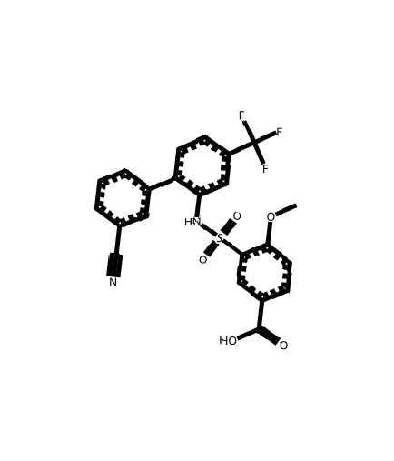 COc1ccc(C(=O)O)cc1S(=O)(=O)Nc1cc(C(F)(F)F)ccc1-c1cccc(C#N)c1